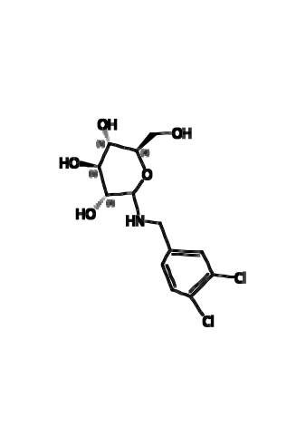 OC[C@H]1OC(NCc2ccc(Cl)c(Cl)c2)[C@H](O)[C@@H](O)[C@@H]1O